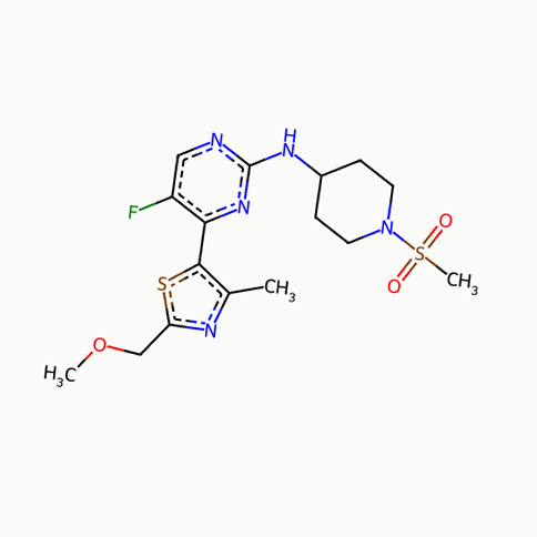 COCc1nc(C)c(-c2nc(NC3CCN(S(C)(=O)=O)CC3)ncc2F)s1